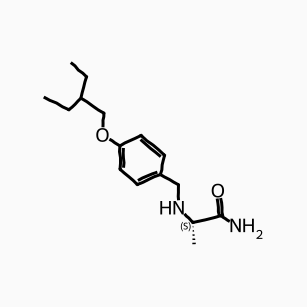 CCC(CC)COc1ccc(CN[C@@H](C)C(N)=O)cc1